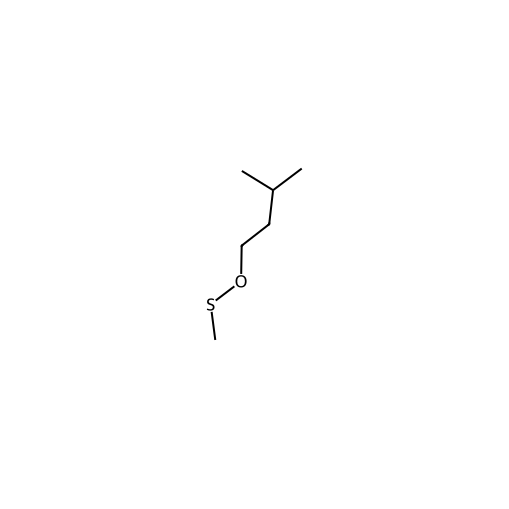 CSOCCC(C)C